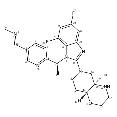 C/N=C/c1ccc([C@H](C)n2c(N3CC[C@H]4OCCN[C@@H]4C3)nc3cc(F)cc(F)c32)nc1